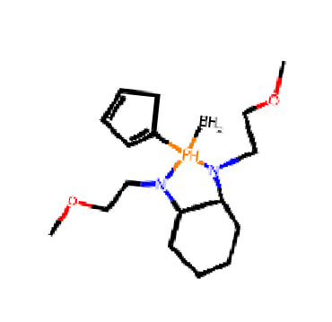 B[PH]1(C2=CC=CC2)N(CCOC)C2CCCCC2N1CCOC